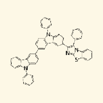 c1ccc(-c2c(-c3ccc4c(c3)c3cc(-c5ccc6c(c5)c5ccccc5n6-c5ccccc5)ccc3n4-c3ccccc3)nc3sc4ccccc4n23)cc1